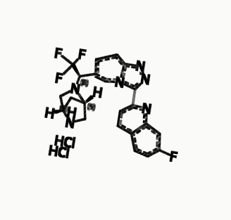 Cl.Cl.Fc1ccc2ccc(-c3nnc4ccc([C@@H](N5C[C@@H]6C[C@H]5CN6)C(F)(F)F)cn34)nc2c1